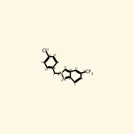 FC(F)(F)c1ccc2nn(Cc3ccc(Cl)cc3)cc2c1